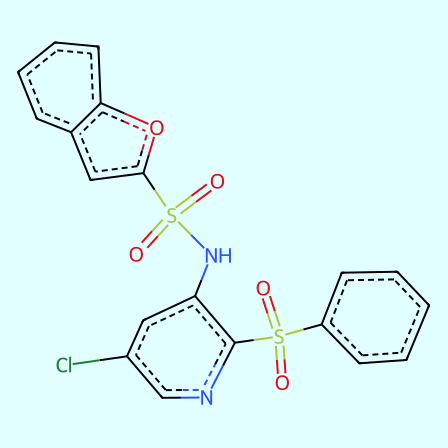 O=S(=O)(Nc1cc(Cl)cnc1S(=O)(=O)c1ccccc1)c1cc2ccccc2o1